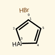 Br.C1=[CH][AlH][CH]=C1